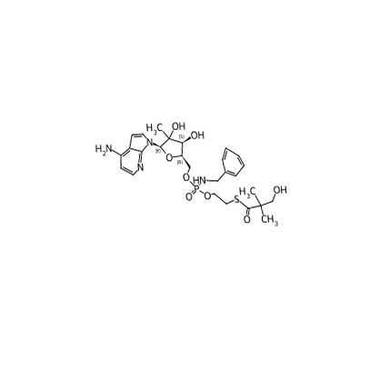 CC(C)(CO)C(=O)SCCOP(=O)(NCc1ccccc1)OC[C@H]1O[C@@H](n2ccc3c(N)ccnc32)C(C)(O)[C@H]1O